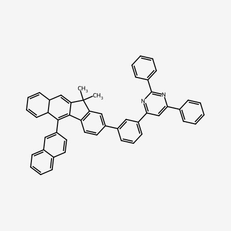 CC1(C)C2=CC3C=CC=CC3C(c3ccc4ccccc4c3)=C2c2ccc(-c3cccc(-c4cc(-c5ccccc5)nc(-c5ccccc5)n4)c3)cc21